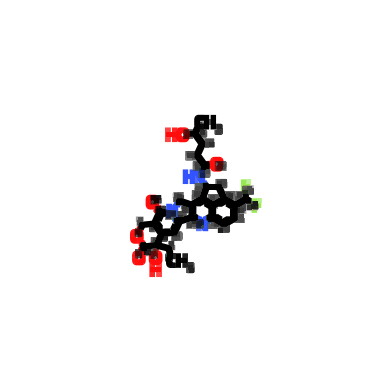 CC[C@@]1(O)C(=O)OCc2c1cc1n(c2=O)Cc2c-1nc1ccc(C(F)F)c3c1c2C(NC(=O)CCC(C)O)C3